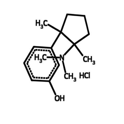 CN(C)C1(C)CCCC1(C)c1cccc(O)c1.Cl